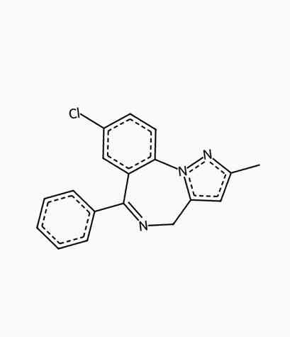 Cc1cc2n(n1)-c1ccc(Cl)cc1C(c1ccccc1)=NC2